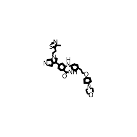 Cc1ncsc1CCn1cc(-c2ccc3c(c2)Nc2ccc(CCOc4ccc(N5CCOCC5)cc4)cc2NC3=O)c2ccncc21